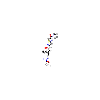 C=CC(=O)NC/C=C/C(C)=C/C(O)CC(N)Cc1nc(C(=O)N2CCCC2)cs1